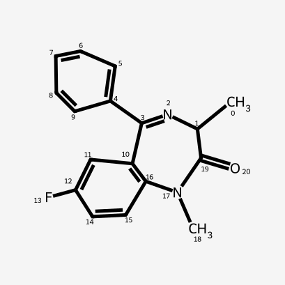 CC1N=C(c2ccccc2)c2cc(F)ccc2N(C)C1=O